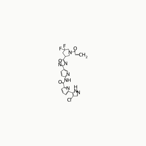 C=CC(=O)N1CC(c2nc(-c3ccc(NC(=O)c4cccc(-c5[nH]ncc5Cl)n4)nc3)no2)CC(F)(F)C1